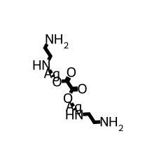 NCC[NH][Ag][O]C(=O)C(=O)[O][Ag][NH]CCN